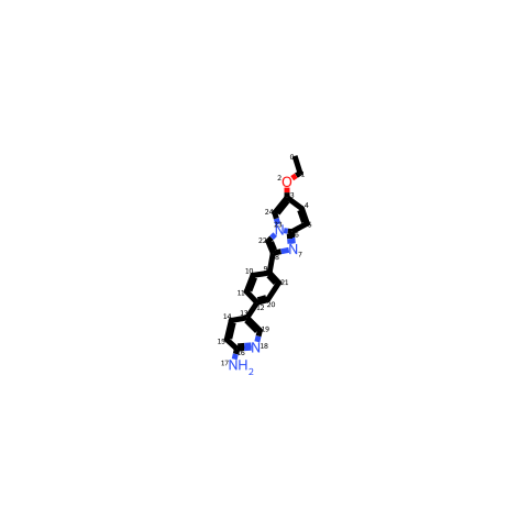 CCOc1ccc2nc(-c3ccc(-c4ccc(N)nc4)cc3)cn2c1